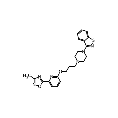 Cc1noc(-c2cccc(OCCCN3CCN(c4nsc5ccccc45)CC3)n2)n1